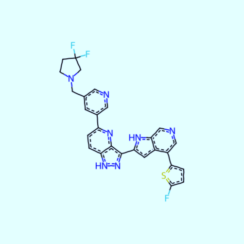 Fc1ccc(-c2cncc3[nH]c(-c4n[nH]c5ccc(-c6cncc(CN7CCC(F)(F)C7)c6)nc45)cc23)s1